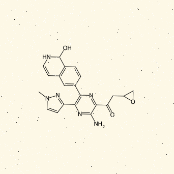 Cn1ccc(-c2nc(N)c(C(=O)CC3CO3)nc2-c2ccc3c(c2)C=CNC3O)n1